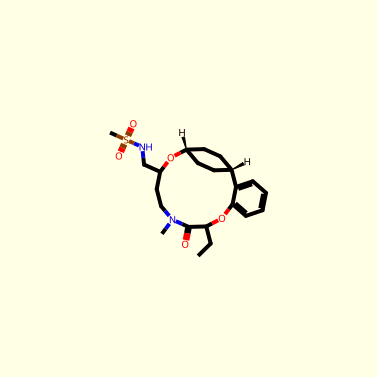 CCC1Oc2ccccc2[C@H]2CC[C@H](CC2)OC(CNS(C)(=O)=O)CCN(C)C1=O